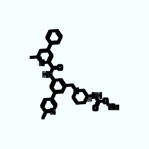 Cc1ccc(-c2cc(CN3CCC[C@H](NC(=O)OC(C)(C)C)C3)cc(NC(=O)c3cc(-c4ccccc4)cc(C)n3)c2)cn1